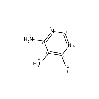 Cc1c(N)ncnc1C(C)C